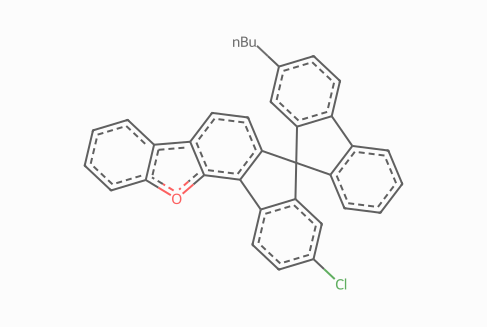 CCCCc1ccc2c(c1)C1(c3ccccc3-2)c2cc(Cl)ccc2-c2c1ccc1c2oc2ccccc21